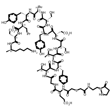 CC[C@H](C)[C@H](NC(=O)[C@H](CO)NC(=O)[C@H](Cc1ccc(O)cc1)NC(=O)[C@H](CC(=O)O)NC(=O)[C@H](CO)NC(=O)[C@@H](NC(=O)[C@H](Cc1ccccc1)NC(=O)[C@@H](NC(=O)CNC(=O)[C@H](CCC(=O)O)NC(=O)CSCC(=O)NCCN1NCCC1=O)[C@@H](C)O)[C@@H](C)O)C(=O)N[C@@H](Cc1ccc(O)cc1)C(=O)N[C@@H](CC(C)C)C(=O)N[C@@H](CC(=O)O)C(=O)N[C@H](C)CCCCN